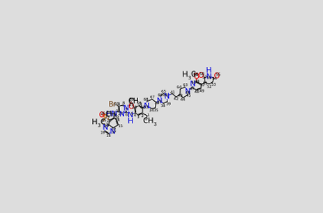 CCc1cc(Nc2ncc(Br)c(Nc3ccc4nccnc4c3P(C)(C)=O)n2)c(OC)cc1N1CCC(N2CCN(CCC3CCN(c4ccc(C5CCC(=O)NC5=O)c(OC)n4)CC3)CC2)CC1